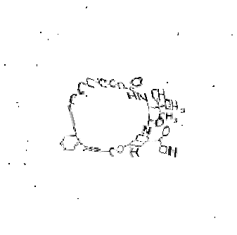 CC(C)(C)[C@@H]1NC(=O)OCCCCCC=Cc2ccccc2C#CCO[C@@H]2C[C@@H](C(=O)O)N(C2)C1=O